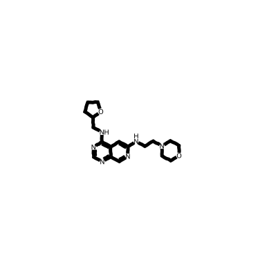 c1nc(NCC2CCCO2)c2cc(NCCN3CCOCC3)ncc2n1